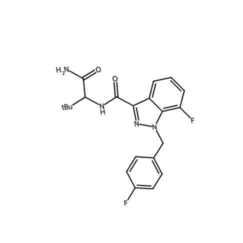 CC(C)(C)C(NC(=O)c1nn(Cc2ccc(F)cc2)c2c(F)cccc12)C(N)=O